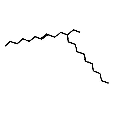 [CH2]CCCCCC=CCCC(CC)CCCCCCCCC[CH2]